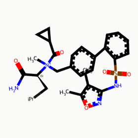 Cc1onc(NS(=O)(=O)c2ccccc2-c2ccc(C[N+](C)(C(=O)C3CC3)[C@@H](CC(C)C)C(N)=O)cc2)c1C